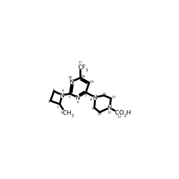 CC1CCN1c1nc(N2CCN(C(=O)O)CC2)cc(C(F)(F)F)n1